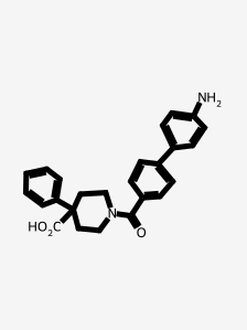 Nc1ccc(-c2ccc(C(=O)N3CCC(C(=O)O)(c4ccccc4)CC3)cc2)cc1